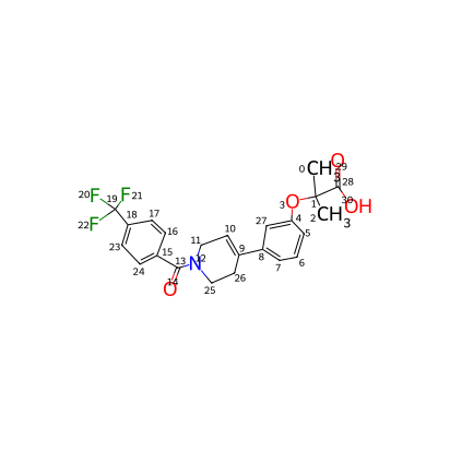 CC(C)(Oc1cccc(C2=CCN(C(=O)c3ccc(C(F)(F)F)cc3)CC2)c1)C(=O)O